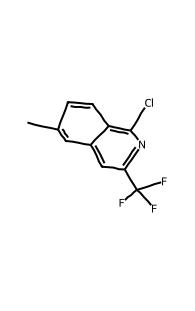 Cc1ccc2c(Cl)nc(C(F)(F)F)cc2c1